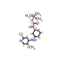 Cc1cnc(Cl)cc1Nc1cccc(NC(=O)OC(C)(C)C)c1